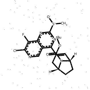 C[S+]([O-])c1nc(C2=C[C@@H]3CC[C@H](C2)N3C(=O)OC(C)(C)C)c2cnc(Cl)c(F)c2n1